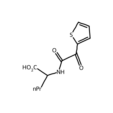 CCCC(NC(=O)C(=O)c1cccs1)C(=O)O